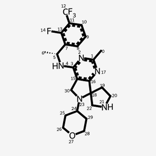 Cc1nc(N[C@H](C)c2cccc(C(F)(F)F)c2F)c2c(n1)C1(CCNC1)N(C1CCOCC1)C2